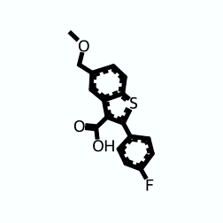 COCc1ccc2sc(-c3ccc(F)cc3)c(C(=O)O)c2c1